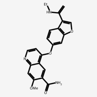 C=C(NCC)c1coc2cc(Oc3ccnc4cc(OC)c(C(N)=O)cc34)ccc12